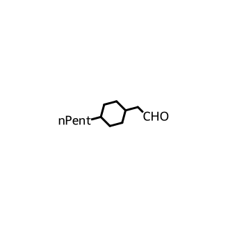 CCCCCC1CCC(CC=O)CC1